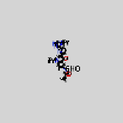 Cc1cc2c(cc1N(C=O)CC(=O)C1CC1)c(=O)c(-c1cccc(-c3nncn3C(C)C)n1)cn2C(C)C